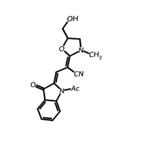 CC(=O)N1C(=CC(C#N)=C2OC(CO)CN2C)C(=O)c2ccccc21